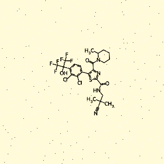 CC1CCCCN1C(=O)c1nc(C(=O)NCC(C)(C)C#N)sc1-c1ccc(C(O)(C(F)(F)F)C(F)(F)F)c(Cl)c1Cl